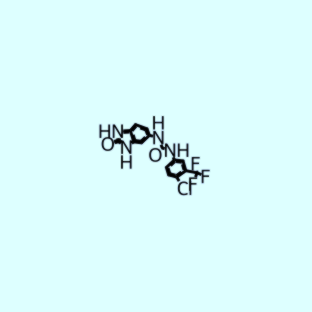 O=C(Nc1ccc(Cl)c(C(F)(F)F)c1)Nc1ccc2[nH]c(=O)[nH]c2c1